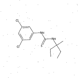 CCC(C)(CC)NC(=S)Nc1cc(Cl)cc(Cl)c1